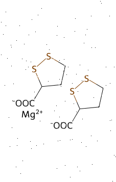 O=C([O-])C1CCSS1.O=C([O-])C1CCSS1.[Mg+2]